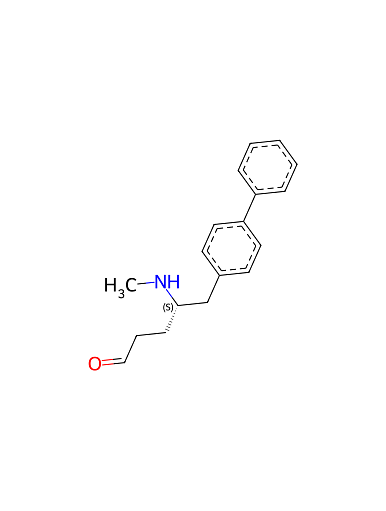 CN[C@@H](CCC=O)Cc1ccc(-c2ccccc2)cc1